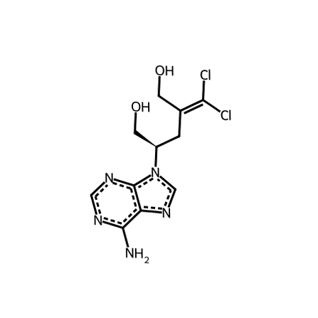 Nc1ncnc2c1ncn2[C@@H](CO)CC(CO)=C(Cl)Cl